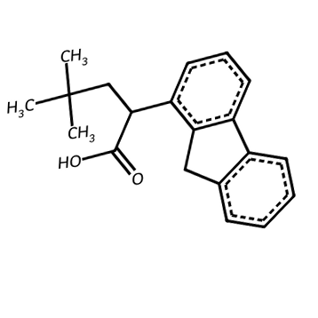 CC(C)(C)CC(C(=O)O)c1cccc2c1Cc1ccccc1-2